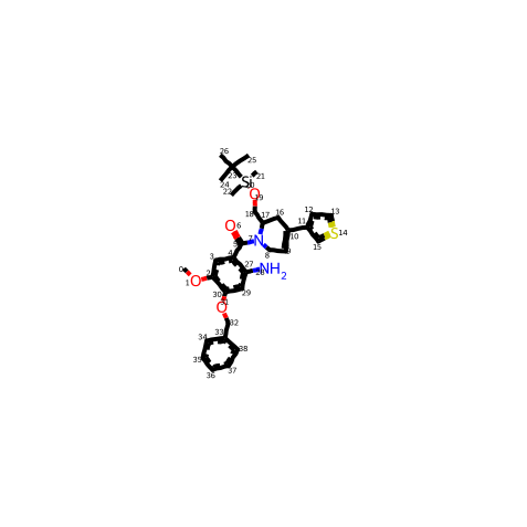 COc1cc(C(=O)N2CC=C(c3ccsc3)CC2CO[Si](C)(C)C(C)(C)C)c(N)cc1OCc1ccccc1